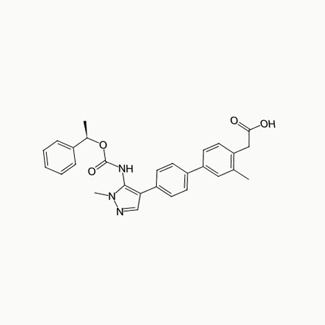 Cc1cc(-c2ccc(-c3cnn(C)c3NC(=O)O[C@H](C)c3ccccc3)cc2)ccc1CC(=O)O